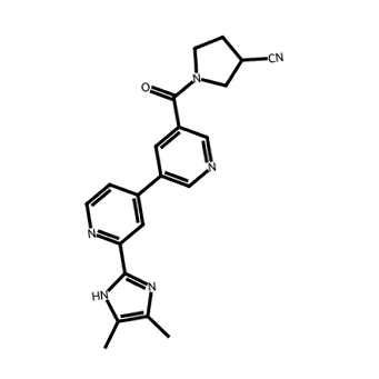 Cc1nc(-c2cc(-c3cncc(C(=O)N4CCC(C#N)C4)c3)ccn2)[nH]c1C